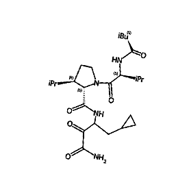 CC[C@H](C)C(=O)N[C@H](C(=O)N1CC[C@H](C(C)C)[C@H]1C(=O)NC(CC1CC1)C(=O)C(N)=O)C(C)C